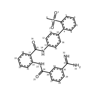 CS(=O)(=O)c1ccccc1-c1ccc(NC(=O)c2ccccc2NC(=O)c2cccc(C(=N)N)c2)cc1